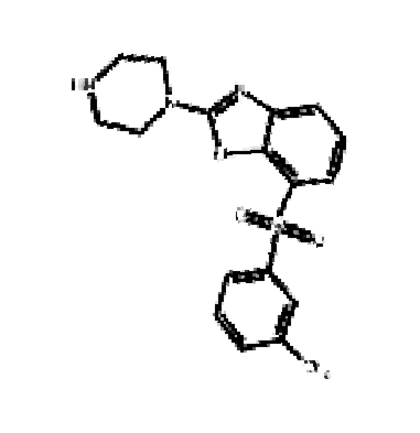 O=S(=O)(c1cccc(C(F)(F)F)c1)c1cccc2nc(N3CCNCC3)oc12